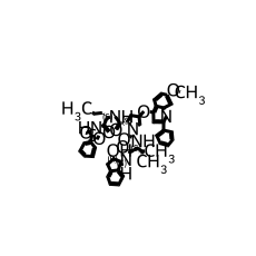 CCC[C@H](NC(=O)[C@@H]1CC(Oc2cc(-c3ccccc3)nc3cc(OC)ccc23)CN1C(=O)N[C@H](C(=O)N[C@H]1c2ccccc2C[C@H]1O)C(C)C)C(=O)NS(=O)(=O)c1ccccc1